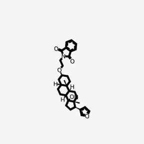 C[C@]12CC[C@H](OCCN3C(=O)c4ccccc4C3=O)C[C@H]1CC[C@@H]1[C@@H]2CC[C@]2(C)[C@@H](c3ccoc3)CC[C@]12O